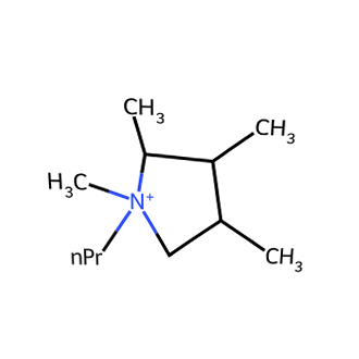 CCC[N+]1(C)CC(C)C(C)C1C